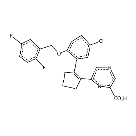 O=C(O)c1cncc(C2=C(c3cc(Cl)ccc3OCc3cc(F)ccc3F)CCC2)n1